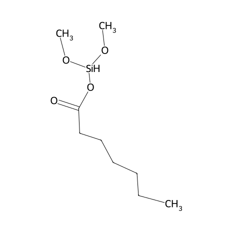 CCCCCCC(=O)O[SiH](OC)OC